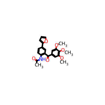 COc1cc(C(=O)c2cc(-c3ccco3)ccc2NC(C)=O)cc(OC)c1OC